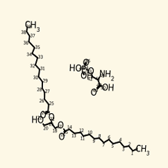 CCCCCCCCCCCCCCCC(=O)OCC(CO)OC(=O)CCCCCCCCCCCCCCC.NC(COP(=O)(O)O)C(=O)O